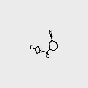 N#C[C@H]1CCC[C@@H](C(=O)N2CC(F)C2)C1